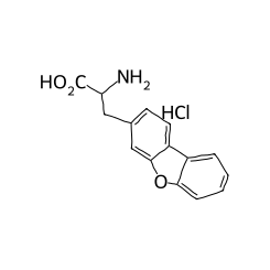 Cl.NC(Cc1ccc2c(c1)oc1ccccc12)C(=O)O